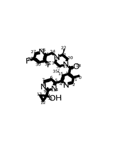 Cc1cnc(-c2ccnc(C3(O)CC3)n2)cc1C(=O)N1C[C@H](C)N(Cc2ncc(F)cc2F)C[C@H]1C